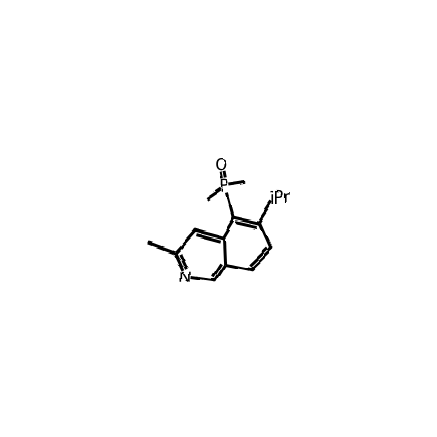 Cc1cc2c(P(C)(C)=O)c(C(C)C)ccc2cn1